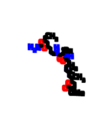 C/C=C\CC(C/C=C\NC(=O)C(NC(=O)\C=C/C=C\C(C)=C\C(C)C1CC=C(OC)C(=O)O1)C(C)(C)C)OC(N)=O